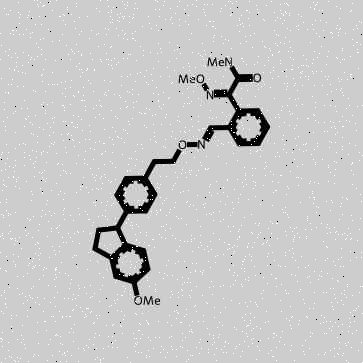 CNC(=O)C(=NOC)c1ccccc1C=NOCCc1ccc(C2CCc3cc(OC)ccc32)cc1